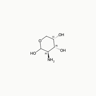 N[C@H]1C(O)OC[C@H](O)[C@@H]1O